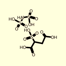 O=C(O)CC(C(=O)O)S(=O)(=O)O.O=[S](=O)(O)[AlH][S](=O)(=O)O